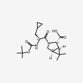 CC(C)(C)OC(=O)N[C@@H](CC1CC1)C(=O)N1C[C@H]2[C@@H]([C@H]1C(=O)O)C2(C)C